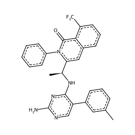 Cc1cccc(-c2cnc(N)nc2N[C@@H](C)c2cc3cccc(C(F)(F)F)c3c(=O)n2-c2ccccc2)c1